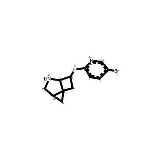 Brc1ccc(OC2CC34CC3CNC24)nc1